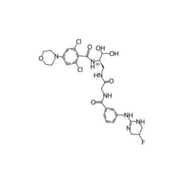 O=C(CNC(=O)c1cccc(NC2=NCC(F)CN2)c1)NC[C@@H](NC(=O)c1c(Cl)cc(N2CCOCC2)cc1Cl)C(O)O